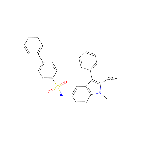 Cn1c(C(=O)O)c(-c2ccccc2)c2cc(NS(=O)(=O)c3ccc(-c4ccccc4)cc3)ccc21